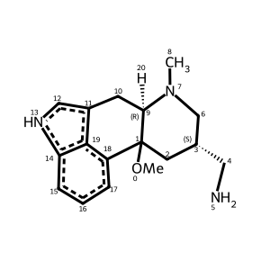 COC12C[C@@H](CN)CN(C)[C@@H]1Cc1c[nH]c3cccc2c13